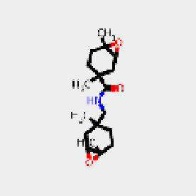 CC1(CNC(=O)C2(C)CCC3(C)OC3C2)CCC2(C)OC2C1